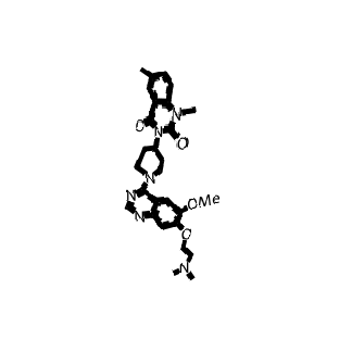 COc1cc2c(N3CCC(n4c(=O)c5cc(C)ccc5n(C)c4=O)CC3)ncnc2cc1OCCN(C)C